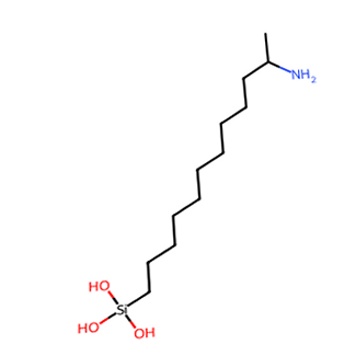 CC(N)CCCCCCCCCC[Si](O)(O)O